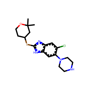 CC1(C)CC(Sc2nc3cc(Cl)c(N4CCNCC4)cc3[nH]2)CCO1